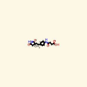 CC1(CCc2ccc(NC(=O)CCC(=O)O)cc2)CC(=O)NC1=O